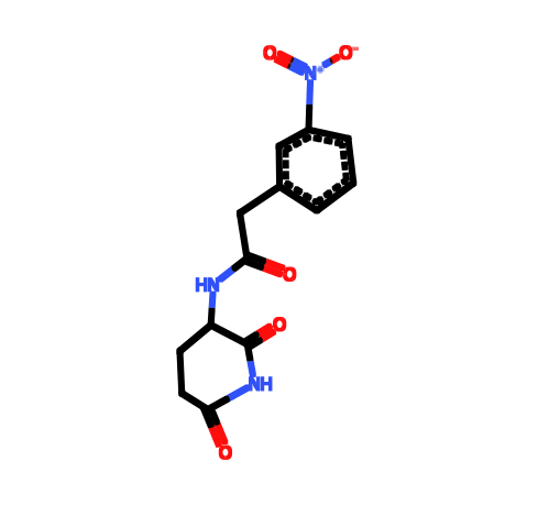 O=C1CCC(NC(=O)Cc2cccc([N+](=O)[O-])c2)C(=O)N1